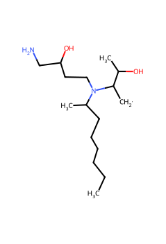 [CH2]C(C(C)O)N(CCC(O)CN)C(C)CCCCCC